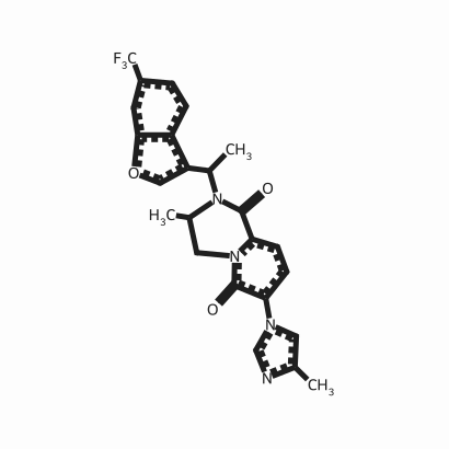 Cc1cn(-c2ccc3n(c2=O)CC(C)N(C(C)c2coc4cc(C(F)(F)F)ccc24)C3=O)cn1